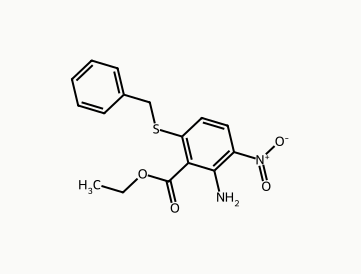 CCOC(=O)c1c(SCc2ccccc2)ccc([N+](=O)[O-])c1N